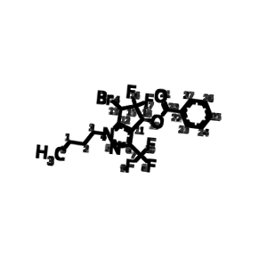 CCCCn1nc(C(F)(F)F)c2c1C(Br)C(F)(F)[C@H]2OC(=O)c1ccccc1